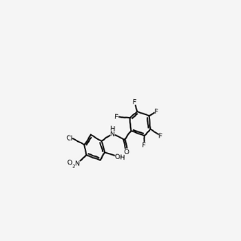 O=C(Nc1cc(Cl)c([N+](=O)[O-])cc1O)c1c(F)c(F)c(F)c(F)c1F